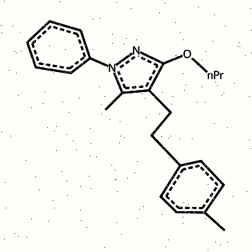 CCCOc1nn(-c2ccccc2)c(C)c1CCc1ccc(C)cc1